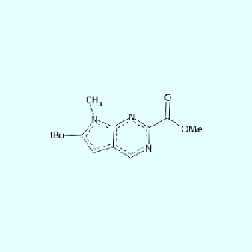 COC(=O)c1ncc2cc(C(C)(C)C)n(C)c2n1